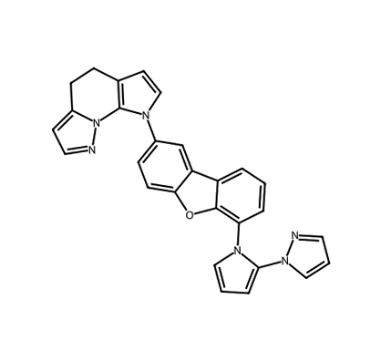 c1cc(-n2cccc2-n2cccn2)c2oc3ccc(-n4ccc5c4-n4nccc4CC5)cc3c2c1